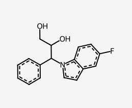 OCC(O)C(c1ccccc1)n1ccc2cc(F)ccc21